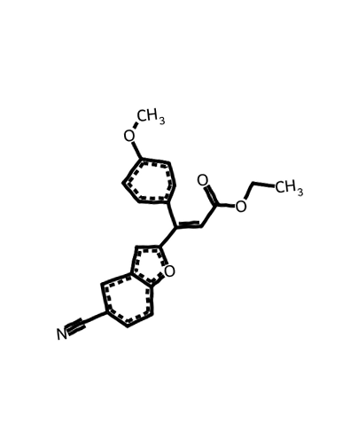 CCOC(=O)C=C(c1ccc(OC)cc1)c1cc2cc(C#N)ccc2o1